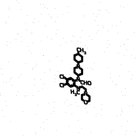 CC1CCC(N2CCC(N(C=O)c3cc(Cl)c(Cl)cc3N(C)CCN3CCOCC3)CC2)CC1